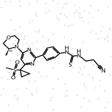 C[C@H]1COCCN1c1cc(C2(S(C)(=O)=O)CC2)nc(-c2ccc(NC(=S)NCCC#N)cc2)n1